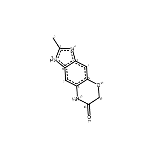 Cc1nc2cc3c(cc2[nH]1)NC(=O)CO3